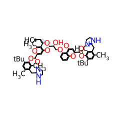 C#C/C=C(/OCC(O)COc1cccc2oc(C(=O)Oc3c(C(C)(C)C)cc(C)c(CC4=NCCN4)c3C)cc(=O)c12)c1c(C)oc(C(=O)Oc2c(C(C)(C)C)cc(C)c(CC3=NCCN3)c2C)cc1=O